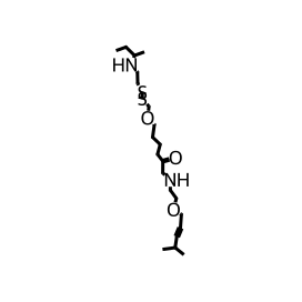 CCC(C)NCCSSCOCCCCC(=O)CNCCOCC#CC(C)C